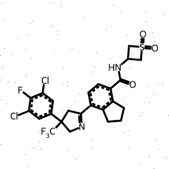 O=C(NC1CS(=O)(=O)C1)c1ccc(C2=NCC(c3cc(Cl)c(F)c(Cl)c3)(C(F)(F)F)C2)c2c1CCC2